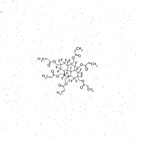 C=CC(=O)OCC1(F)C(F)(F)C2(F)C(F)(COC(=O)C=C)C(F)(COC(=O)C=C)C3(F)C(F)(F)C(F)(COC(=O)C=C)C(F)(F)C4(F)C(F)(COC(=O)C=C)C(F)(COC(=O)C=C)C(F)(C1(F)F)C2(F)C34F